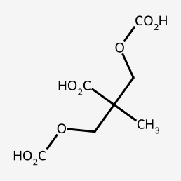 CC(COC(=O)O)(COC(=O)O)C(=O)O